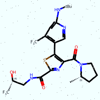 C[C@H]1CCCN1C(=O)c1nc(C(=O)NC[C@@H](O)C(F)(F)F)sc1-c1cnc(NC(C)(C)C)cc1C(F)(F)F